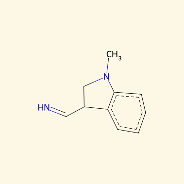 CN1CC(C=N)c2ccccc21